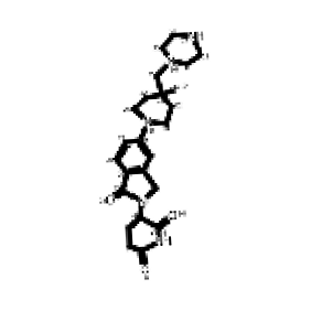 O=C1CCC(N2Cc3cc(N4CCC(F)(CN5CCNCC5)CC4)ccc3C2=O)C(=O)N1